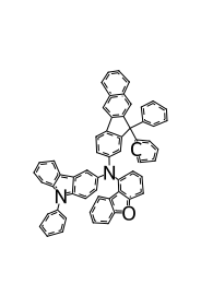 c1ccc(-n2c3ccccc3c3cc(N(c4ccc5c(c4)C(c4ccccc4)(c4ccccc4)c4cc6ccccc6cc4-5)c4cccc5oc6ccccc6c45)ccc32)cc1